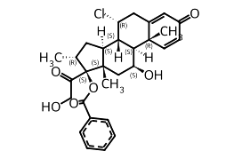 C[C@@H]1C[C@H]2[C@H]3[C@H]([C@@H](O)C[C@]2(C)[C@]1(OC(=O)c1ccccc1)C(=O)CO)[C@@]1(C)C=CC(=O)C=C1C[C@H]3Cl